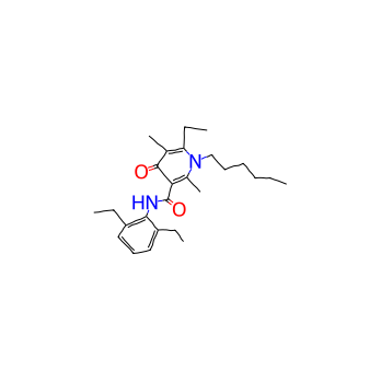 CCCCCCn1c(C)c(C(=O)Nc2c(CC)cccc2CC)c(=O)c(C)c1CC